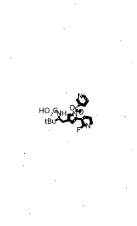 CC(C)(C)C(Cc1cc(-c2cccnc2F)n(S(=O)(=O)c2cccnc2)c1)NC(=O)O